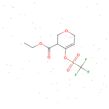 CCOC(=O)C1COCC=C1OS(=O)(=O)C(F)(F)F